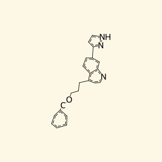 c1ccc(COCCCc2ccnc3cc(-c4cc[nH]n4)ccc23)cc1